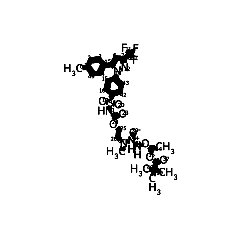 Cc1ccc(-c2cc(C(F)(F)F)nn2-c2ccc(S(=O)(=O)NC(=O)OCCN(C)[NH+]([O-])NOC(C)OC(=O)C(C)(C)C)cc2)cc1